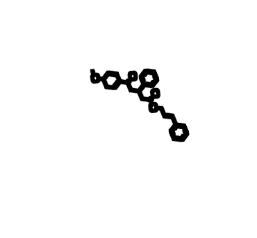 COC1C=CC(C(=O)CC(CC(=O)OC/C=C/c2ccccc2)c2ccccc2)=CC1